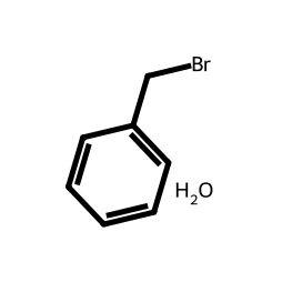 BrCc1ccccc1.O